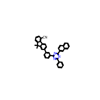 CC1(C)c2cc(-c3cccc(-c4nc(-c5ccccc5)nc(-c5ccc6ccccc6c5)n4)c3)ccc2-c2c(C#N)cccc21